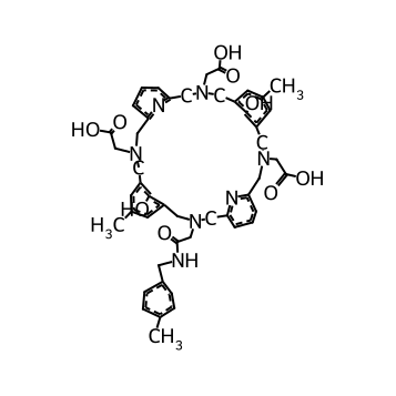 Cc1ccc(CNC(=O)CN2Cc3cccc(n3)CN(CC(=O)O)Cc3cc(C)cc(c3O)CN(CC(=O)O)Cc3cccc(n3)CN(CC(=O)O)Cc3cc(C)cc(c3O)C2)cc1